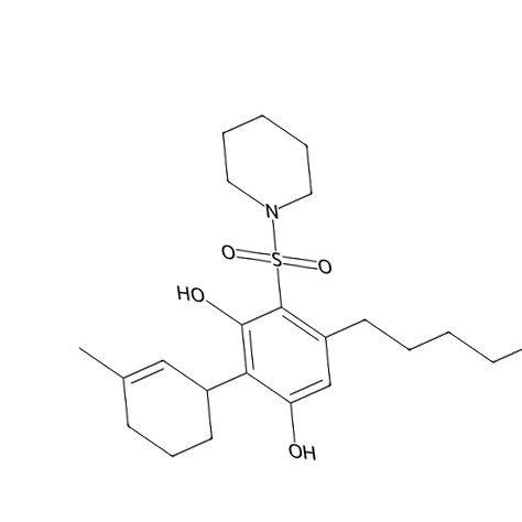 CCCCCc1cc(O)c(C2C=C(C)CCC2)c(O)c1S(=O)(=O)N1CCCCC1